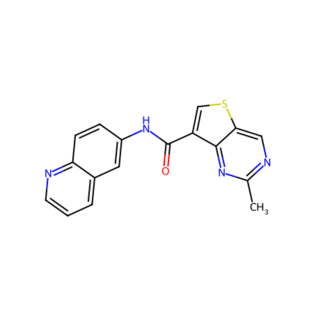 Cc1ncc2scc(C(=O)Nc3ccc4ncccc4c3)c2n1